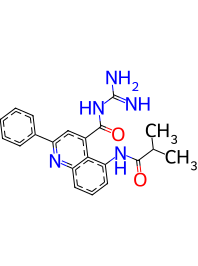 CC(C)C(=O)Nc1cccc2nc(-c3ccccc3)cc(C(=O)NC(=N)N)c12